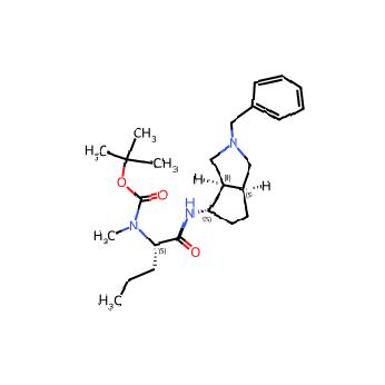 CCC[C@@H](C(=O)N[C@H]1CC[C@@H]2CN(Cc3ccccc3)C[C@@H]21)N(C)C(=O)OC(C)(C)C